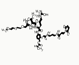 CNC(=O)OCc1ccc(NC(=O)[C@H](CCCNC(N)O)NC(=O)[C@@H](NC(=O)COCCOCCOC)C(C)C)cc1OCC(=O)NCCCNC(=O)CCN1C(=O)C=CC1=O